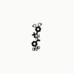 C=C(c1cccc(S(C)(=O)=O)c1)N1CC(C)(C)C(c2ccc(OC)c(OC)c2)=N1